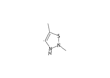 CC1=[C]NN(C)S1